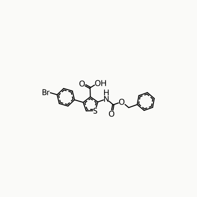 O=C(Nc1scc(-c2ccc(Br)cc2)c1C(=O)O)OCc1ccccc1